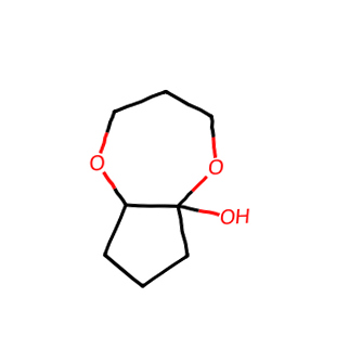 OC12CCCC1OCCCO2